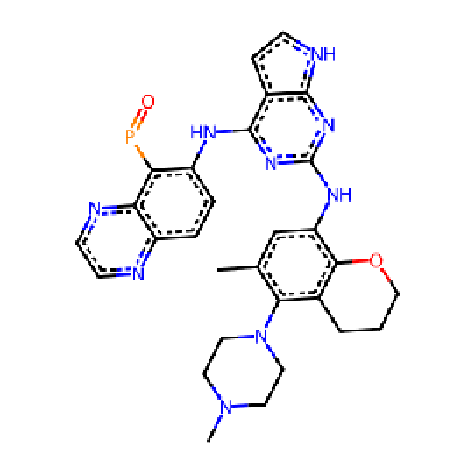 Cc1cc(Nc2nc(Nc3ccc4nccnc4c3P=O)c3cc[nH]c3n2)c2c(c1N1CCN(C)CC1)CCCO2